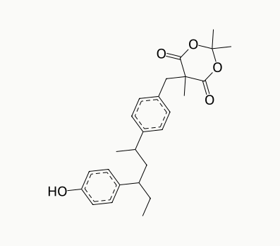 CCC(CC(C)c1ccc(CC2(C)C(=O)OC(C)(C)OC2=O)cc1)c1ccc(O)cc1